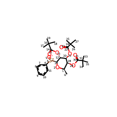 C[C@H]1O[C@@H]([S+]([O-])c2ccccc2)[C@H](OC(=O)C(C)(C)C)[C@@H](OC(=O)C(C)(C)C)[C@H]1OC(=O)C(C)(C)C